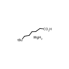 CC(C)(C)CCCCCC(=O)O.[MgH2]